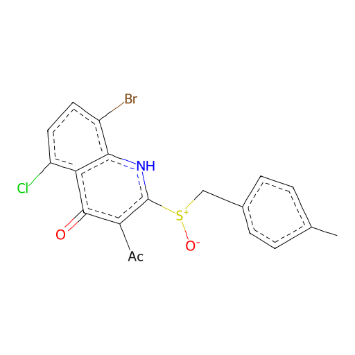 CC(=O)c1c([S+]([O-])Cc2ccc(C)cc2)[nH]c2c(Br)ccc(Cl)c2c1=O